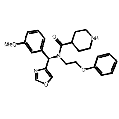 COc1cccc([C@H](c2cocn2)N(CCOc2ccccc2)C(=O)C2CCNCC2)c1